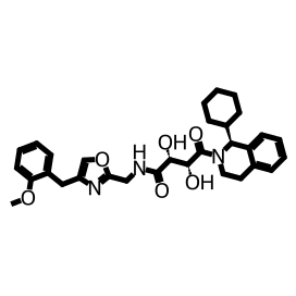 COc1ccccc1Cc1coc(CNC(=O)[C@H](O)[C@@H](O)C(=O)N2CCc3ccccc3[C@@H]2C2CCCCC2)n1